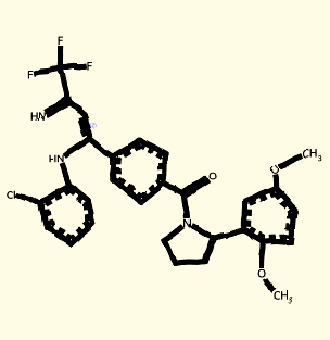 COc1ccc(OC)c(C2CCCN2C(=O)c2ccc(/C(=C/C(=N)C(F)(F)F)Nc3ccccc3Cl)cc2)c1